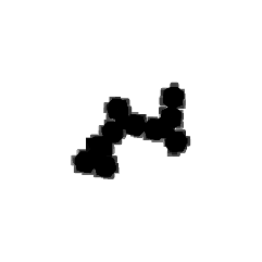 c1ccc(-c2ccc3c(c2)c2cc(-c4ccc(N(c5ccccc5)c5ccc(-c6cnc7c8ccccc8c8ccccc8c7n6)cc5)cc4)ccc2n3-c2ccccc2)cc1